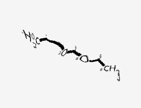 [CH2]COCOCC